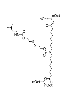 CCCCCCCCC(CCCCCCCC)OC(=O)CCCCCCCN(CCCCCCCC(=O)OC(CCCCCCCC)CCCCCCCC)C(=O)OCCSSCCOC(=O)NCCN(C)C